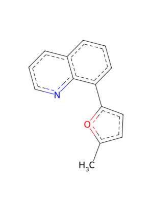 Cc1ccc(-c2cccc3cccnc23)o1